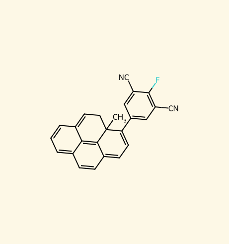 CC12CC=c3cccc4ccc(c1c34)=CC=C2c1cc(C#N)c(F)c(C#N)c1